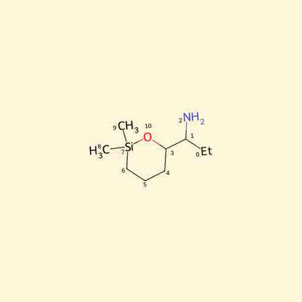 CCC(N)C1CCC[Si](C)(C)O1